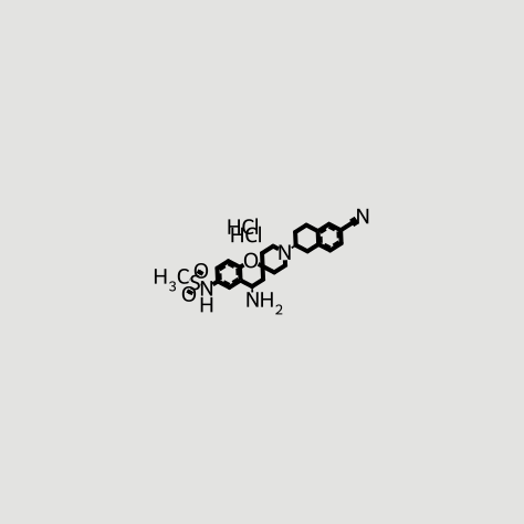 CS(=O)(=O)Nc1ccc2c(c1)[C@@H](N)CC1(CCN([C@@H]3CCc4cc(C#N)ccc4C3)CC1)O2.Cl.Cl